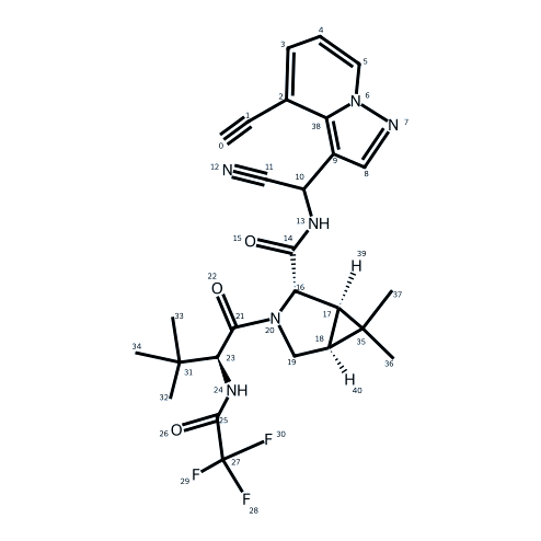 C#Cc1cccn2ncc(C(C#N)NC(=O)[C@@H]3[C@@H]4[C@H](CN3C(=O)[C@@H](NC(=O)C(F)(F)F)C(C)(C)C)C4(C)C)c12